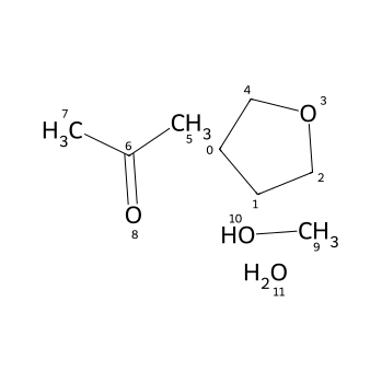 C1CCOC1.CC(C)=O.CO.O